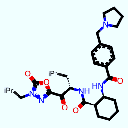 CC(C)C[C@H](NC(=O)[C@@H]1CCCC[C@@H]1NC(=O)c1ccc(CN2CCCC2)cc1)C(=O)c1nn(CC(C)C)c(=O)o1